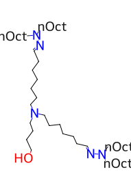 CCCCCCCCN(CCCCCCCC)/N=C/CCCCCCN(CCCCO)CCCCCC/C=N/N(CCCCCCCC)CCCCCCCC